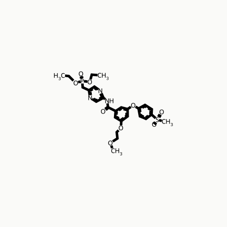 CCOP(=O)(Cc1cnc(NC(=O)c2cc(OCCOC)cc(Oc3ccc(S(C)(=O)=O)cc3)c2)cn1)OCC